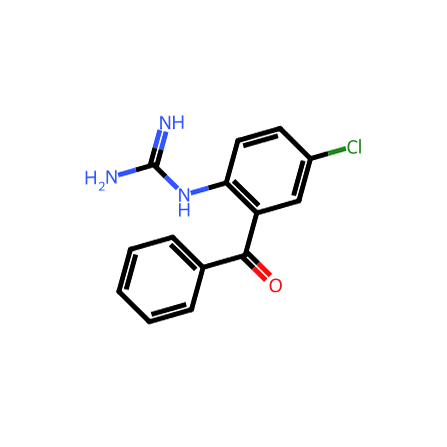 N=C(N)Nc1ccc(Cl)cc1C(=O)c1ccccc1